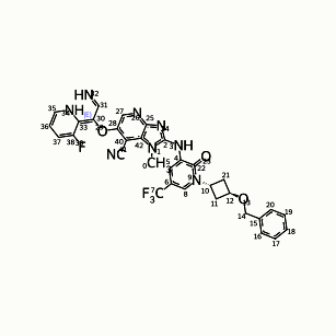 Cn1c(Nc2cc(C(F)(F)F)cn([C@H]3C[C@H](OCc4ccccc4)C3)c2=O)nc2ncc(O/C(C=N)=C3/NC=CC=C3F)c(C#N)c21